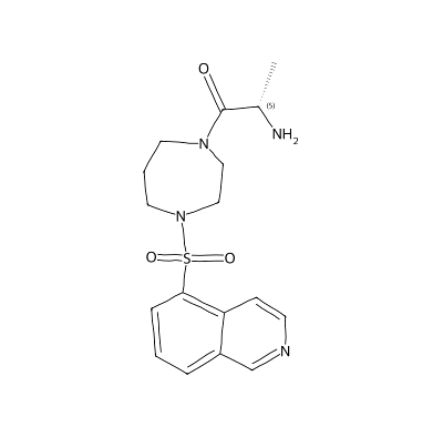 C[C@H](N)C(=O)N1CCCN(S(=O)(=O)c2cccc3cnccc23)CC1